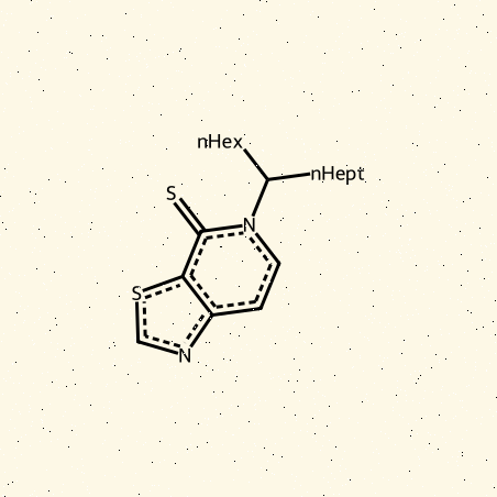 CCCCCCCC(CCCCCC)n1ccc2ncsc2c1=S